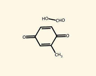 CC1=CC(=O)C=CC1=O.O=CO